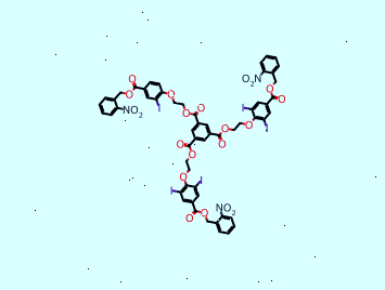 O=C(OCCOc1ccc(C(=O)OCc2ccccc2[N+](=O)[O-])cc1I)c1cc(C(=O)OCCOc2c(I)cc(C(=O)OCc3ccccc3[N+](=O)[O-])cc2I)cc(C(=O)OCCOc2c(I)cc(C(=O)OCc3ccccc3[N+](=O)[O-])cc2I)c1